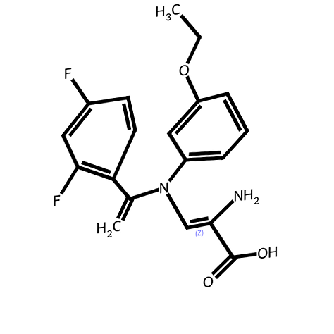 C=C(c1ccc(F)cc1F)N(/C=C(\N)C(=O)O)c1cccc(OCC)c1